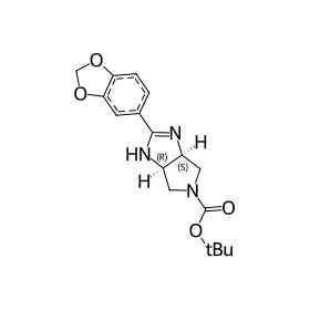 CC(C)(C)OC(=O)N1C[C@@H]2N=C(c3ccc4c(c3)OCO4)N[C@@H]2C1